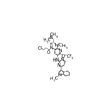 CN(C)CCN(C)c1nc(OCC(F)(F)F)c(Nc2nccc(-c3cn(C)c4ccccc34)n2)cc1NC(=O)CCCl